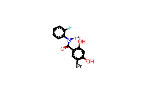 CCCN(C(=O)c1cc(C(C)C)c(O)cc1O)c1ccccc1F